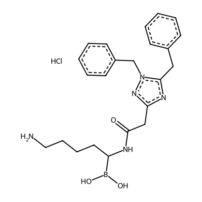 Cl.NCCCCC(NC(=O)Cc1nc(Cc2ccccc2)n(Cc2ccccc2)n1)B(O)O